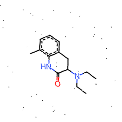 CCN(CC)C1Cc2cccc(C)c2NC1=O